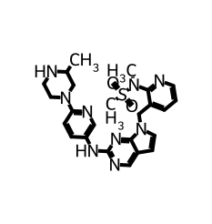 CC1CN(c2ccc(Nc3ncc4ccn(Cc5cccnc5N(C)S(C)(=O)=O)c4n3)cn2)CCN1